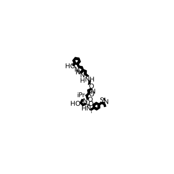 Cc1ncsc1-c1ccc([C@H](C)NC(=O)[C@@H]2C[C@@H](O)CN2C(=O)[C@@H](c2cc(OCCNCc3cc4cc(-c5ccccc5O)nnc4[nH]3)no2)C(C)C)cc1